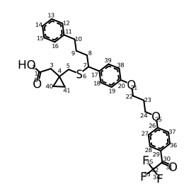 O=C(O)CC1(CSC(CCCc2ccccc2)c2ccc(OCCCOc3ccc(C(=O)C(F)(F)F)cc3)cc2)CC1